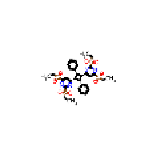 CCS(=O)(=O)c1cc([C@H]2[C@H](c3ccccc3)[C@H](c3cc(S(=O)(=O)CC)nc(S(=O)(=O)CC)n3)[C@H]2c2ccccc2)nc(S(=O)(=O)CC)n1